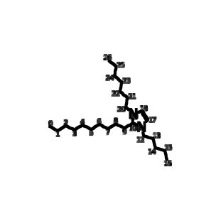 CCCCCCCCCCC1N(CCCCC)C=CN1CCCCCCC